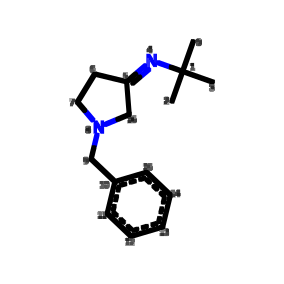 CC(C)(C)N=C1CCN(Cc2ccccc2)C1